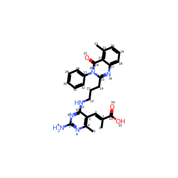 C/C(=C\c1c(C)nc(N)nc1NCCCc1nc2cccc(C)c2c(=O)n1-c1ccccc1)C(=O)O